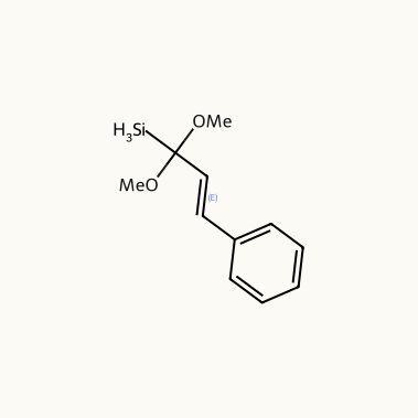 COC([SiH3])(/C=C/c1ccccc1)OC